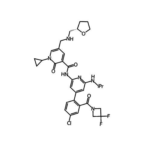 CC(C)Nc1cc(-c2ccc(Cl)cc2C(=O)N2CC(F)(F)C2)cc(NC(=O)c2cc(CNC[C@@H]3CCCO3)cn(C3CC3)c2=O)n1